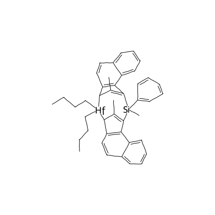 CCC[CH2][Hf]1([CH2]CCC)[CH]2C(C)=C(c3c2ccc2ccccc32)[Si](C)(c2ccccc2)C2=C(C)[CH]1c1ccc3ccccc3c12